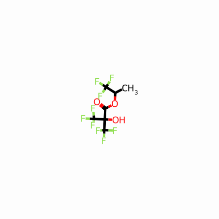 CC(OC(=O)C(O)(C(F)(F)F)C(F)(F)F)C(F)(F)F